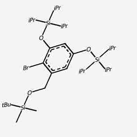 CC(C)[Si](Oc1cc(CO[Si](C)(C)C(C)(C)C)c(Br)c(O[Si](C(C)C)(C(C)C)C(C)C)c1)(C(C)C)C(C)C